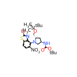 CC(C)(C)OC(=O)N[C@@H]1C[C@@H](CO[Si](C)(C)C(C)(C)C)N(c2c([N+](=O)[O-])ccc3sc(Br)nc23)C1